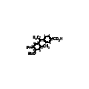 C=C(c1ccc(C(=O)O)cc1)c1cc(C(C)C)c(OCC(C)C)cc1C